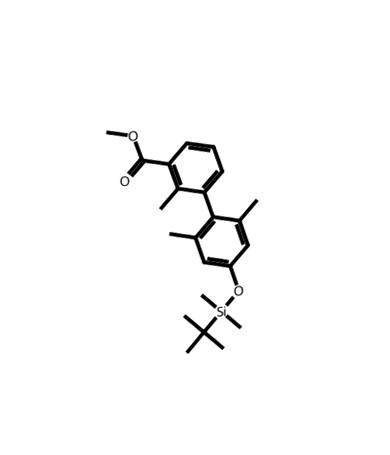 COC(=O)c1cccc(-c2c(C)cc(O[Si](C)(C)C(C)(C)C)cc2C)c1C